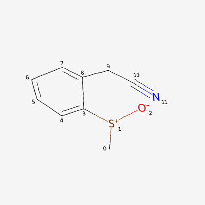 C[S+]([O-])c1ccccc1CC#N